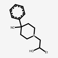 CCC(O)CN1CCC(C#N)(c2ccccc2)CC1